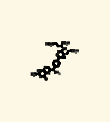 CN(c1ccc(C(=O)N[C@@H](CCC(=O)O)C(=O)N[C@@H](CCC(=O)O)C(=O)O)cc1)c1cnc2[nH]c(N)nc(=O)c2n1